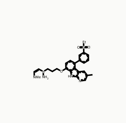 CCS(=O)(=O)c1cccc(-c2ccc(OCCCN(N)/C=C\NC)c3[nH]c4ncc(C)cc4c23)c1